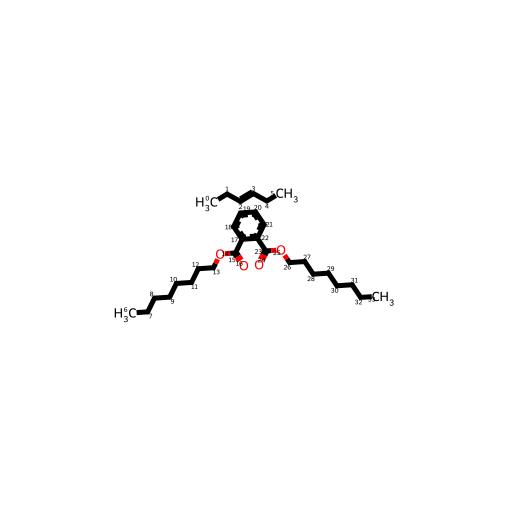 CCC=CCC.CCCCCCCCOC(=O)c1ccccc1C(=O)OCCCCCCCC